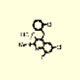 CNc1nc2c(F)cc(Cl)cc2c(Cc2ccccc2Cl)c1C(=O)O